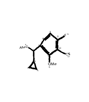 COc1c(C(OC)C2CC2)ccc(F)c1C#N